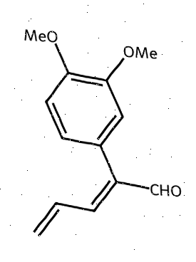 C=C/C=C(/C=O)c1ccc(OC)c(OC)c1